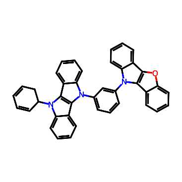 C1=CCC(n2c3ccccc3c3c2c2ccccc2n3-c2cccc(-n3c4ccccc4c4oc5ccccc5c43)c2)C=C1